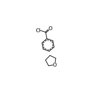 C1CCOC1.O=C(Cl)c1ccccc1